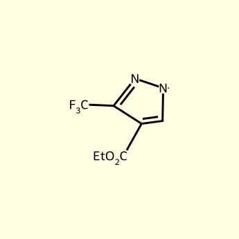 CCOC(=O)C1=C[N]N=C1C(F)(F)F